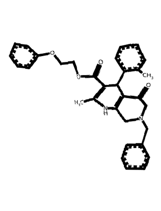 CC1=C(C(=O)OCCOc2ccccc2)C(c2ccccc2C)C2=C(CN(Cc3ccccc3)CC2=O)N1